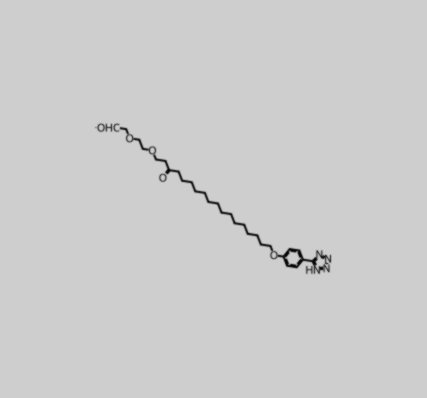 O=[C]COCCOCCC(=O)CCCCCCCCCCCCCCCOc1ccc(-c2nnn[nH]2)cc1